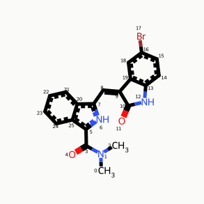 CN(C)C(=O)c1[nH]c(C=C2C(=O)Nc3ccc(Br)cc32)c2ccccc12